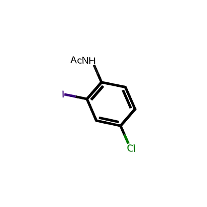 CC(=O)Nc1ccc(Cl)cc1I